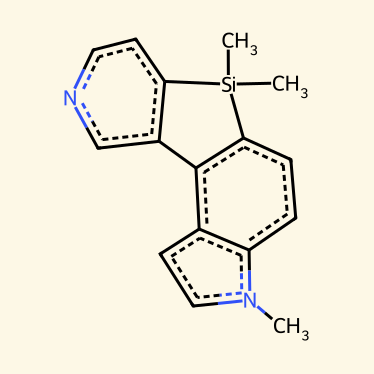 Cn1ccc2c3c(ccc21)[Si](C)(C)c1ccncc1-3